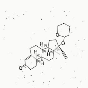 C#C[C@]1(OC2CCCCO2)CC[C@H]2[C@@H]3CCC4=CC(=O)CC[C@@H]4[C@H]3CC[C@@]21C